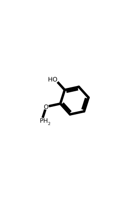 Oc1ccccc1OP